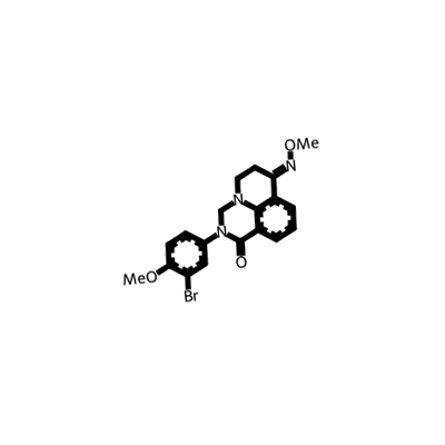 CON=C1CCN2CN(c3ccc(OC)c(Br)c3)C(=O)c3cccc1c32